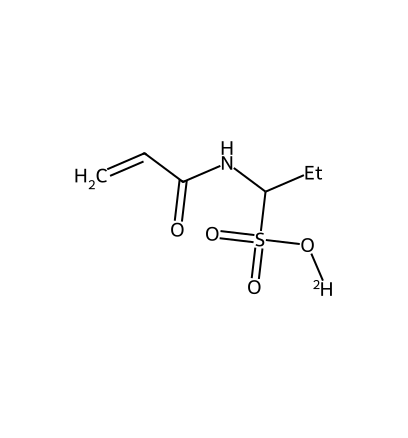 [2H]OS(=O)(=O)C(CC)NC(=O)C=C